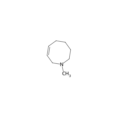 CN1C/C=C\CCCC1